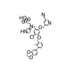 Cc1c(COc2cc(OCc3cncc(C#N)c3)c(CN(CCS(=O)(=O)O)[C@@H]3CCNC3)cc2Cl)cccc1-c1ccc2c(c1)OCCO2